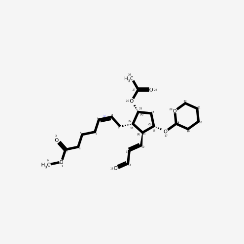 COC(=O)CCC/C=C\C[C@H]1[C@H](C=CC=O)[C@@H](OC2CCCCO2)C[C@H]1OC(C)=O